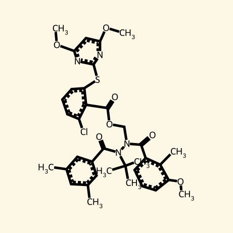 COc1cc(OC)nc(Sc2cccc(Cl)c2C(=O)OCN(C(=O)c2cccc(OC)c2C)N(C(=O)c2cc(C)cc(C)c2)C(C)(C)C)n1